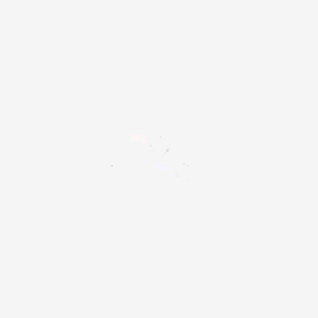 CCCCc1c(O)cccc1Nc1cccc(C)c1